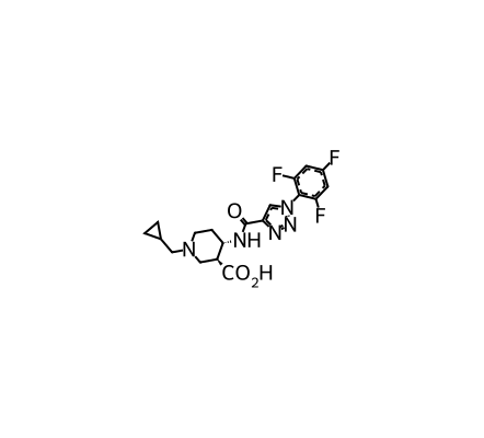 O=C(N[C@H]1CCN(CC2CC2)C[C@@H]1C(=O)O)c1cn(-c2c(F)cc(F)cc2F)nn1